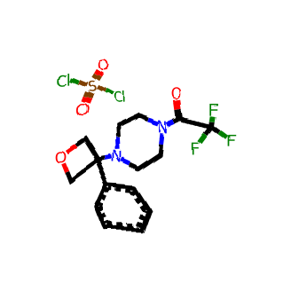 O=C(N1CCN(C2(c3ccccc3)COC2)CC1)C(F)(F)F.O=S(=O)(Cl)Cl